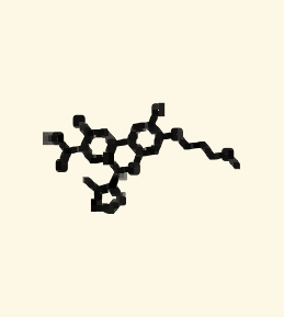 COCCCOc1cc2c(cc1Cl)-c1cc(=O)c(C(=O)O)cn1[C@H](c1scnc1C)O2